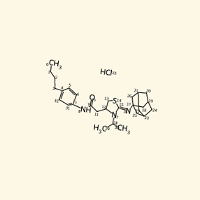 CCCCc1ccc(NC(=O)CC2CSC(=NC34CC5CC(CC(C5)C3)C4)N2C(C)C)cc1.Cl